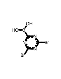 OB(O)c1nc(Br)nc(Br)n1